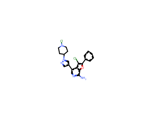 Nc1ncc(-c2cnn(C3CCN(Cl)CC3)c2)c2c(Cl)c(-c3ccccc3)oc12